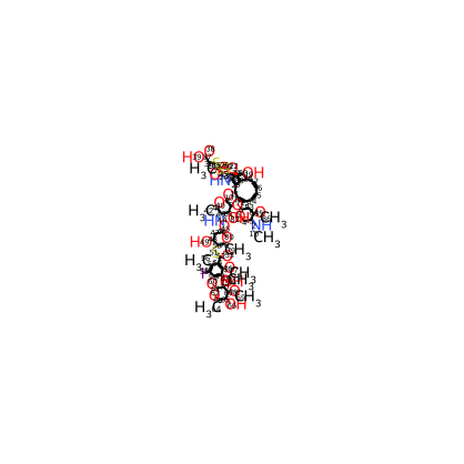 CCN[C@H]1CO[C@@H](O[C@H]2[C@H](O[C@H]3C#C/C=C\C#C[C@]4(O)CC(=O)C(NC(=O)OC)=C3/C4=C\CSSSCC(=O)O)O[C@H](C)[C@@H](NO[C@H]3C[C@H](O)[C@H](SC(=O)c4c(C)c(I)c(O[C@@H]5O[C@@H](C)[C@H](O)[C@@H](OC)[C@H]5O)c(OC)c4OC)[C@@H](C)O3)[C@@H]2O)C[C@@H]1OC